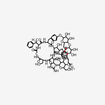 CCCCCCC(=O)OCC1OC(Oc2ccc(CC3NC(=O)C(C(C)c4ccccc4)NC(=O)CNC(=O)C(CO)NC(=O)C(C(O)C4CNC(=N)N4C4OC(CO)C(O)C(O)C4O)NC(=O)C(C(O)C4CNC(=N)N4)NC3=O)cc2)C(O)C(O)C1OC1OC(CO)C(O)C(O)C1O